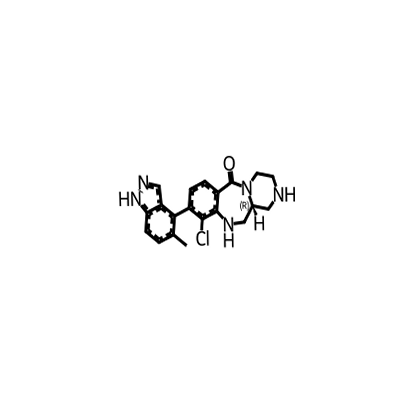 Cc1ccc2[nH]ncc2c1-c1ccc2c(c1Cl)NC[C@H]1CNCCN1C2=O